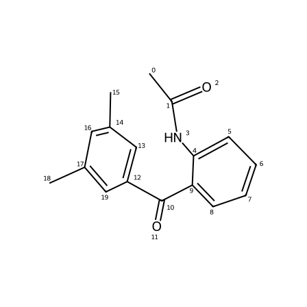 CC(=O)Nc1ccccc1C(=O)c1cc(C)cc(C)c1